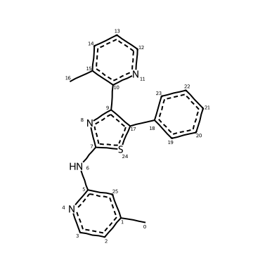 Cc1ccnc(Nc2nc(-c3ncccc3C)c(-c3ccccc3)s2)c1